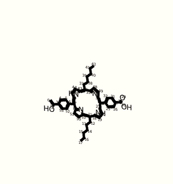 C=C(O)c1ccc(-c2c3nc(c(CCCCCC)c4ccc([nH]4)c(-c4ccc(C(=O)O)cc4)c4nc(c(CCCCCC)c5ccc2[nH]5)C=C4)C=C3)cc1